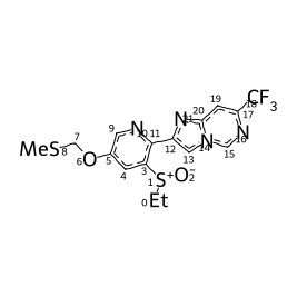 CC[S+]([O-])c1cc(OCSC)cnc1-c1cn2cnc(C(F)(F)F)cc2n1